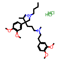 CCCCNCC(CCCN(C)CCc1ccc(OC)c(OC)c1)(c1ccc(OC)c(OC)c1)C(C)C.Cl.Cl